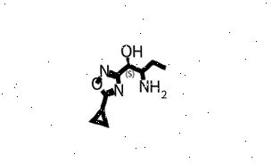 CCC(N)[C@H](O)c1noc(C2CC2)n1